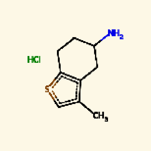 Cc1csc2c1CC(N)CC2.Cl